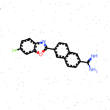 N=C(N)c1ccc2cc(-c3nc4ccc(F)cc4o3)ccc2c1